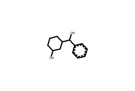 OC1CCCC(C(O)c2ccccc2)C1